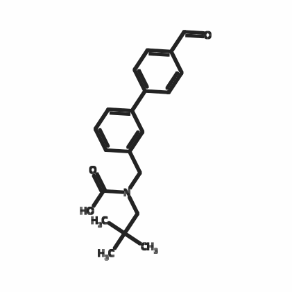 CC(C)(C)CN(Cc1cccc(-c2ccc(C=O)cc2)c1)C(=O)O